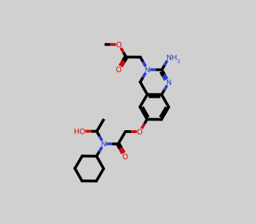 COC(=O)CN1Cc2cc(OCC(=O)N(C(C)O)C3CCCCC3)ccc2N=C1N